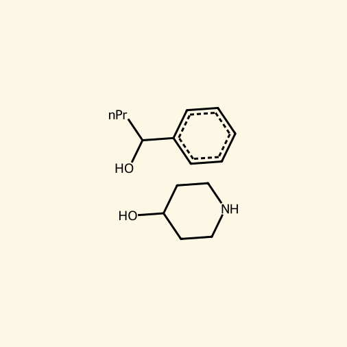 CCCC(O)c1ccccc1.OC1CCNCC1